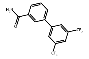 NC(=O)c1cccc(-c2cc(C(F)(F)F)cc(C(F)(F)F)c2)c1